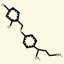 CC(CCN)c1ccc(SCc2ccc(Cl)cc2Cl)cc1